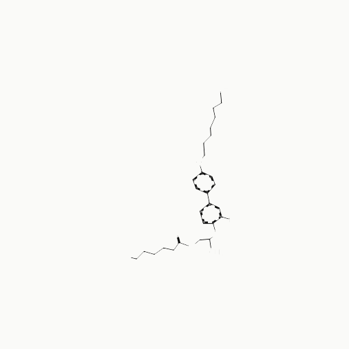 CCCCCCCCOc1ccc(-c2ccc(OC(C)COC(=O)CCCCCC)c(F)c2)cc1